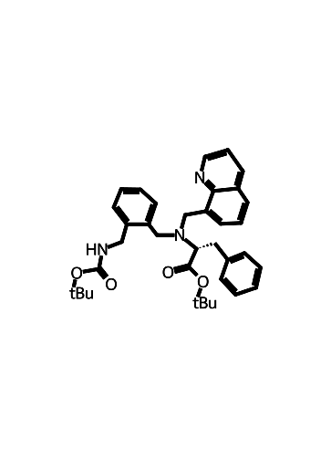 CC(C)(C)OC(=O)NCc1ccccc1CN(Cc1cccc2cccnc12)[C@H](Cc1ccccc1)C(=O)OC(C)(C)C